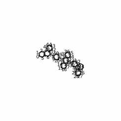 c1ccc2c(c1)cc(-c1ccc(-c3c4ccccc4c(-c4ccc5oc6ccccc6c5c4)c4ccccc34)cc1)c1ccccc12